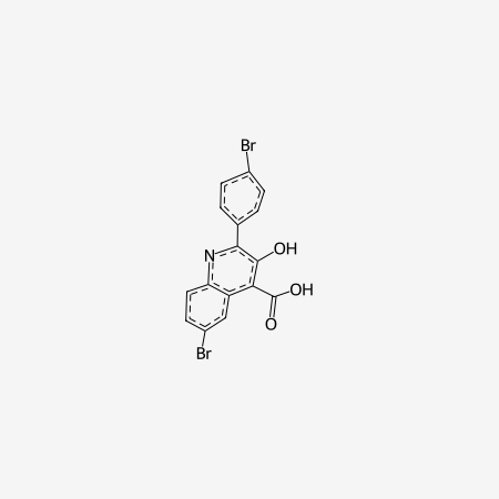 O=C(O)c1c(O)c(-c2ccc(Br)cc2)nc2ccc(Br)cc12